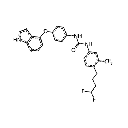 O=C(Nc1ccc(Oc2ccnc3[nH]ccc23)cc1)Nc1ccc(CCCC(F)F)c(C(F)(F)F)c1